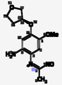 COc1cc(/N=C(/C)N=O)c(N)cc1O[C@H]1CCOC1